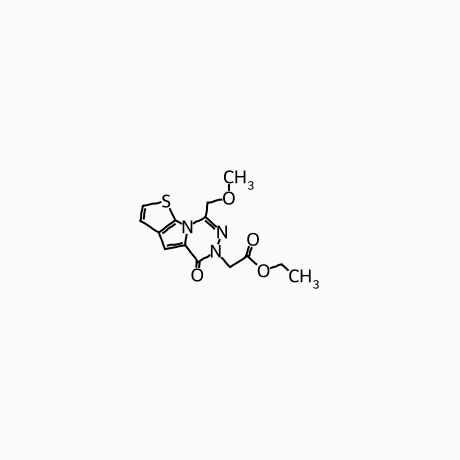 CCOC(=O)Cn1nc(COC)n2c(cc3ccsc32)c1=O